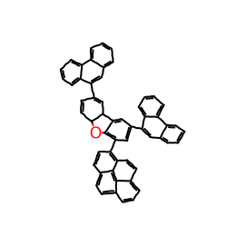 C1=CC2Oc3c(-c4ccc5ccc6cccc7ccc4c5c67)cc(-c4cc5ccccc5c5ccccc45)cc3C2C=C1c1cc2ccccc2c2ccccc12